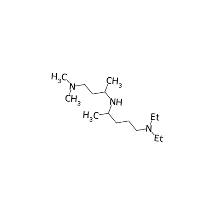 CCN(CC)CCCC(C)NC(C)CCN(C)C